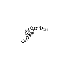 O=C(Nc1ccc(CN2CCC(O)CC2)cc1)c1sc2ncnc3c2c1NC(=O)N3c1ccc(Oc2ccccc2)cc1